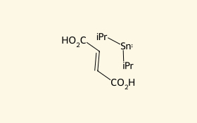 C[CH](C)[Sn][CH](C)C.O=C(O)C=CC(=O)O